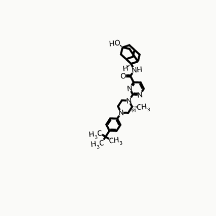 C[C@@H]1CN(c2ccc(C(C)(C)C)cc2)CCN1c1nccc(C(=O)N[C@H]2C3CC4CC2C[C@](O)(C4)C3)n1